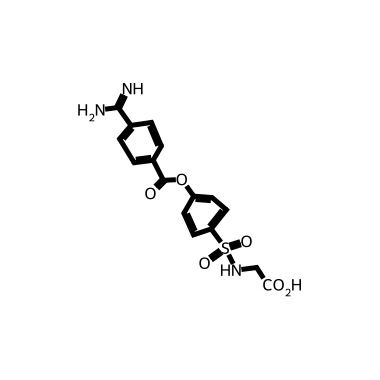 N=C(N)c1ccc(C(=O)Oc2ccc(S(=O)(=O)NCC(=O)O)cc2)cc1